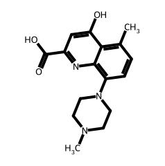 Cc1ccc(N2CCN(C)CC2)c2nc(C(=O)O)cc(O)c12